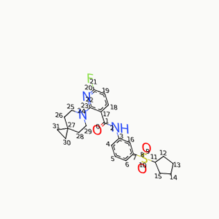 O=C(Nc1cccc(S(=O)(=O)C2CCCC2)c1)c1ccc(F)nc1N1CCC2(CC1)CC2